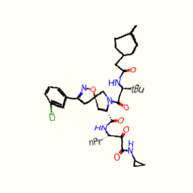 CCC[C@H](NC(=O)[C@@H]1C[C@]2(CC(c3cccc(Cl)c3)=NO2)CN1C(=O)[C@@H](NC(=O)CC1CCC(C)CC1)C(C)(C)C)C(=O)C(=O)NC1CC1